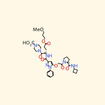 COCCCOC(=O)CC[C@H](NC(=O)c1cc(OCC(=O)N2CCC[C@H]2C(=O)NC2CCC2)n(-c2ccccc2)n1)C(=O)N1CCN(C(=O)O)CC1